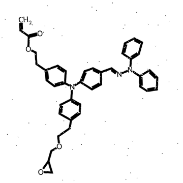 C=CC(=O)OCCc1ccc(N(c2ccc(C=NN(c3ccccc3)c3ccccc3)cc2)c2ccc(CCOCC3CO3)cc2)cc1